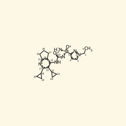 CCn1ccc([S@@](N)(=O)=NC(=O)Nc2c3c(nc(C4CC4)c2C2CC2)CCC3)n1